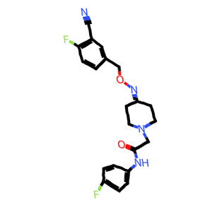 N#Cc1cc(CON=C2CCN(CC(=O)Nc3ccc(F)cc3)CC2)ccc1F